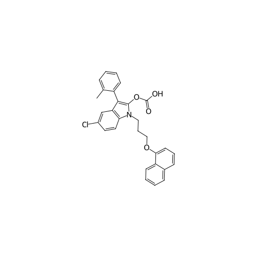 Cc1ccccc1-c1c(OC(=O)O)n(CCCOc2cccc3ccccc23)c2ccc(Cl)cc12